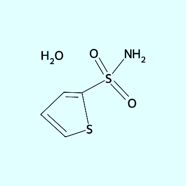 NS(=O)(=O)c1cccs1.O